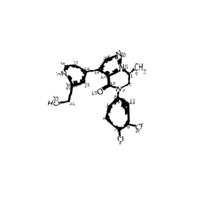 C[C@H]1CN(c2ccc(Cl)c(Cl)c2)C(=O)c2c(-c3ccnc(CO)c3)cnn21